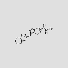 CC(C)NC(=O)N1CCc2c(cnn2C[C@H](O)CN2CCCCC2)C1